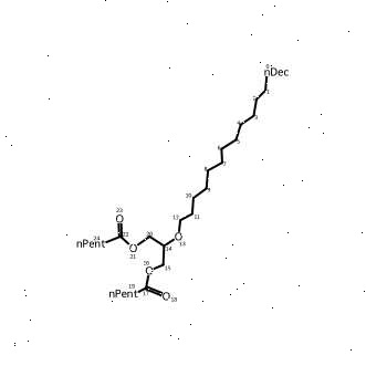 CCCCCCCCCCCCCCCCCCCCCCOC(COC(=O)CCCCC)COC(=O)CCCCC